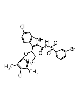 CCC(Oc1cc(C)c(Cl)c(C)c1)c1c(C(=O)NS(=O)(=O)c2cccc(Br)c2)[nH]c2cc(Cl)ccc12